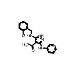 NC(=O)c1c(Nc2cccnc2)n[nH]c1NCc1ccccc1Cl